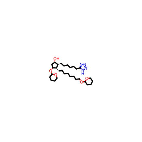 O[C@@H]1C[C@H](OC2CCCCO2)[C@@H](C=CCCCCCCOC2CCCCO2)[C@@H]1CCCCCCc1nnn[nH]1